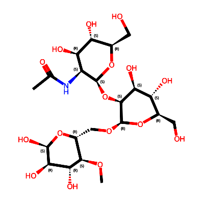 CO[C@H]1[C@H](O)[C@@H](O)[C@@H](O)O[C@@H]1CO[C@@H]1O[C@H](CO)[C@@H](O)[C@H](O)[C@@H]1O[C@@H]1O[C@H](CO)[C@@H](O)[C@H](O)[C@@H]1NC(C)=O